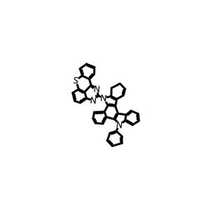 C1=Cc2c(n(-c3nc4c5c(cccc5n3)Sc3ccccc3-4)c3c4ccccc4c4c(c5ccccc5n4-c4ccccc4)c23)CC1